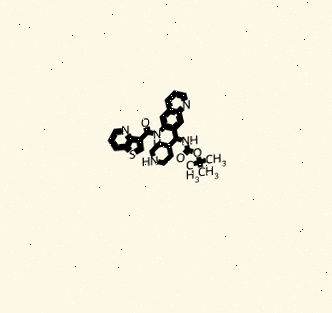 CC(C)(C)OC(=O)NC(c1cc2ncccc2cc1NC(=O)c1csc2cccnc12)C1CCNCC1